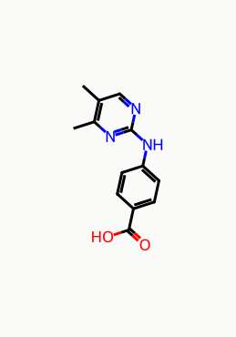 Cc1cnc(Nc2ccc(C(=O)O)cc2)nc1C